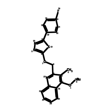 CCCCOc1c(C)c(COc2nnc(-c3ccc(F)cc3)s2)nc2ccccc12